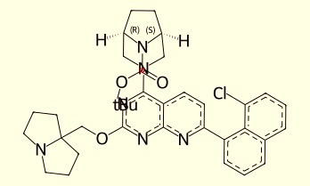 CC(C)(C)OC(=O)N1[C@@H]2CC[C@H]1CN(c1nc(OCC34CCCN3CCC4)nc3nc(-c4cccc5cccc(Cl)c45)ccc13)C2